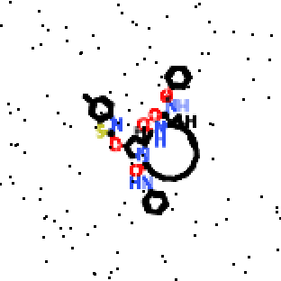 Cc1ccc2nc(O[C@@H]3C[C@H]4C(=O)N[C@]5(C(=O)NOc6ccccc6)C[C@H]5/C=C\CCCCC[C@H](Nc5ccccc5)C(=O)N4C3)sc2c1